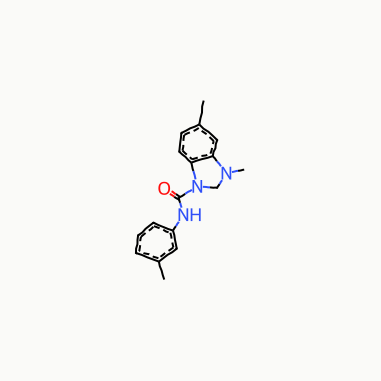 Cc1cccc(NC(=O)N2CN(C)c3cc(C)ccc32)c1